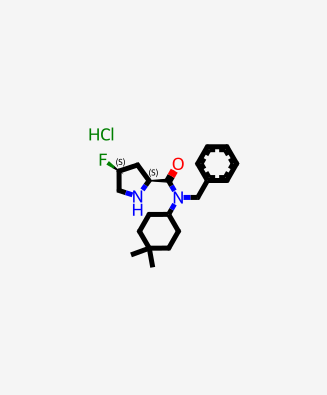 CC1(C)CCC(N(Cc2ccccc2)C(=O)[C@@H]2C[C@H](F)CN2)CC1.Cl